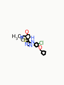 CN(C)/C=C1/C(=O)CCc2c1sc1ncnc(Nc3ccc(OCc4ccccc4)c(Cl)c3)c21